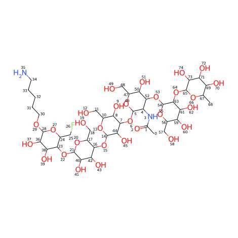 CC(=O)NC1C(OC2C(O)C(CO)OC(OC3C(CO)OC(OC4C(CF)OC(OCCCCCN)C(O)C4O)C(O)C3O)C2O)OC(CO)C(O)C1OC1OC(CO)C(O)C(O)C1OC1OC(C)C(O)C(O)C1O